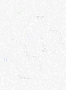 F.c1ccc2ncccc2c1.c1ccc2ncccc2c1